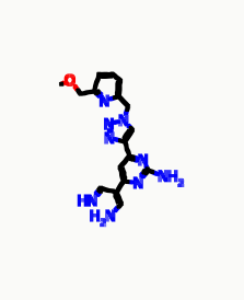 COCc1cccc(Cn2cc(-c3cc(/C(C=N)=C/N)nc(N)n3)nn2)n1